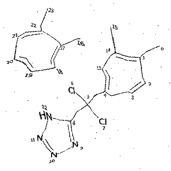 Cc1ccc(C(Cl)(Cl)c2nnn[nH]2)cc1C.Cc1ccccc1C